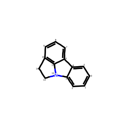 c1ccc2c(c1)c1cccc3c1n2CC3